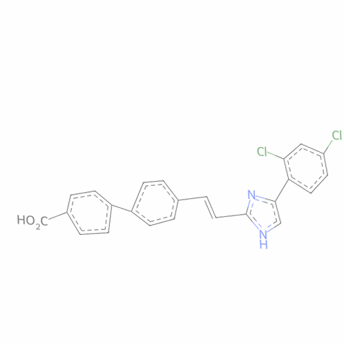 O=C(O)c1ccc(-c2ccc(C=Cc3nc(-c4ccc(Cl)cc4Cl)c[nH]3)cc2)cc1